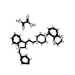 O=C(O)C(=O)O.c1ccc(CN2CC(CCN3CCN(c4cccc5c4OCCO5)CC3)c3ccccc32)cc1